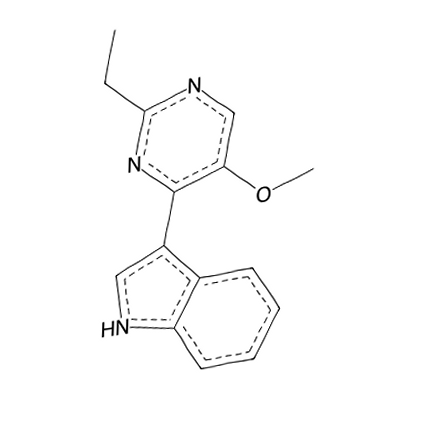 CCc1ncc(OC)c(-c2c[nH]c3ccccc23)n1